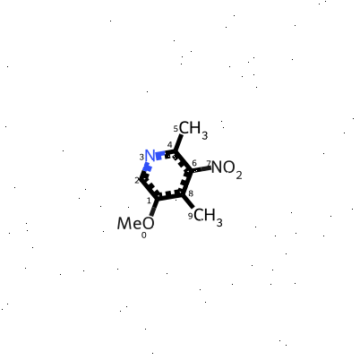 COc1cnc(C)c([N+](=O)[O-])c1C